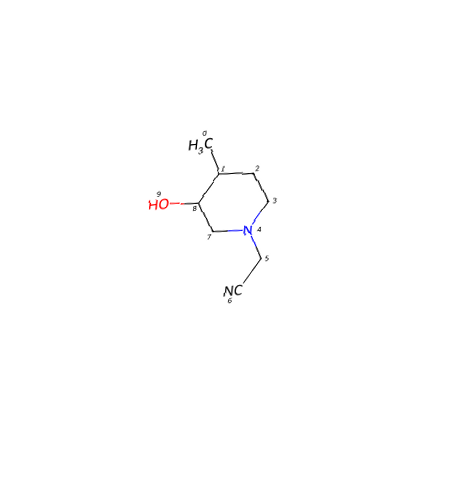 CC1CCN(CC#N)CC1O